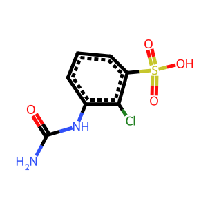 NC(=O)Nc1cccc(S(=O)(=O)O)c1Cl